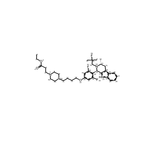 CCOC(=O)CCN1CCN(CCCCOc2cc(F)c([C@@H]3c4[nH]c5ccccc5c4C[C@@H](C)N3CC(C)(C)F)c(F)c2)CC1